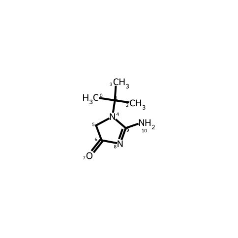 CC(C)(C)N1CC(=O)N=C1N